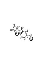 O=Cc1ccc(OC2CCC2)c(Cl)c1